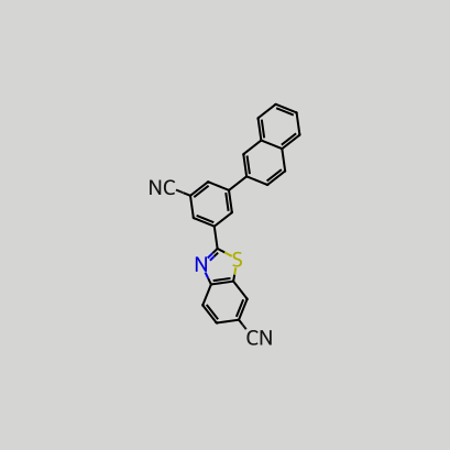 N#Cc1cc(-c2ccc3ccccc3c2)cc(-c2nc3ccc(C#N)cc3s2)c1